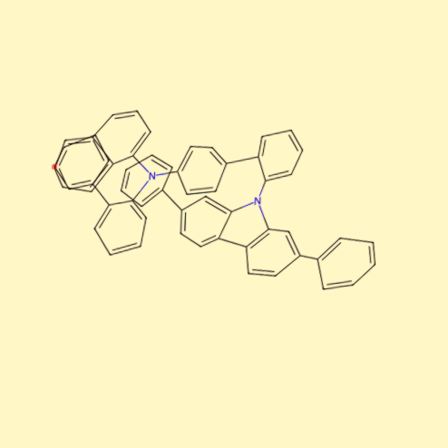 c1ccc(-c2ccc3c4ccc(-c5ccccc5)cc4n(-c4ccccc4-c4ccc(N(c5ccccc5-c5ccccc5)c5cccc6ccccc56)cc4)c3c2)cc1